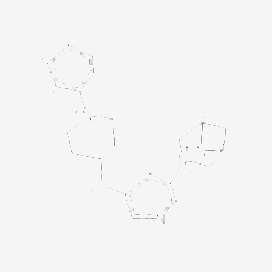 c1ccc(N2CCC(Oc3cncc(N4CC5CC(C4)N5)c3)CC2)cc1